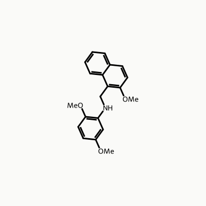 COc1ccc(OC)c(NCc2c(OC)ccc3ccccc23)c1